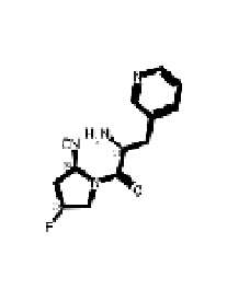 N#C[C@@H]1C[C@H](F)CN1C(=O)[C@@H](N)Cc1cccnc1